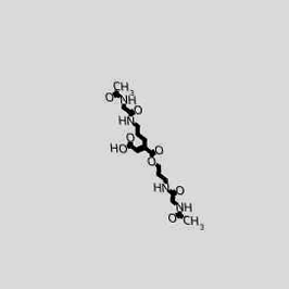 CC(=O)NCC(=O)NCCCOC(=O)C(=CC(=O)O)CCCNC(=O)CNC(C)=O